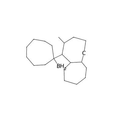 BC1(C2C(C)CCCC3CCCCCC32)CCCCCCC1